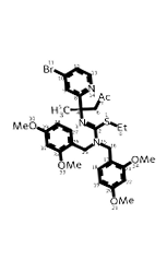 CCS/C(=N\[C@@](C)(CC(C)=O)c1cc(Br)ccn1)N(Cc1ccc(OC)cc1OC)Cc1ccc(OC)cc1OC